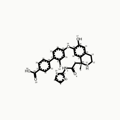 C[C@]1(CC(=O)Nc2nccs2)NCCc2cc(O)c(Oc3ccc(-c4ccc(C(=O)O)cc4)c(F)c3)cc21